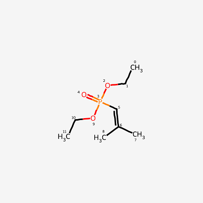 CCOP(=O)(C=C(C)C)OCC